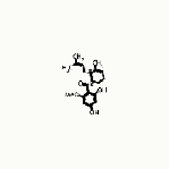 COc1cc(O)cc(O)c1C(=O)[C@H]1CCC=C(C)[C@H]1CC=C(C)C